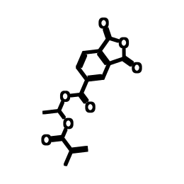 C=C(C)C(=O)OC(C)OC(=O)c1ccc2c(c1)C(=O)OC2=O